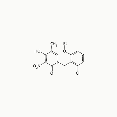 CCOc1cccc(Cl)c1Cn1cc(C)c(O)c([N+](=O)[O-])c1=O